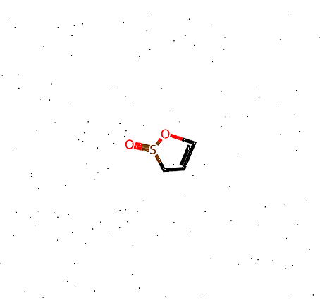 O=S1CC=CO1